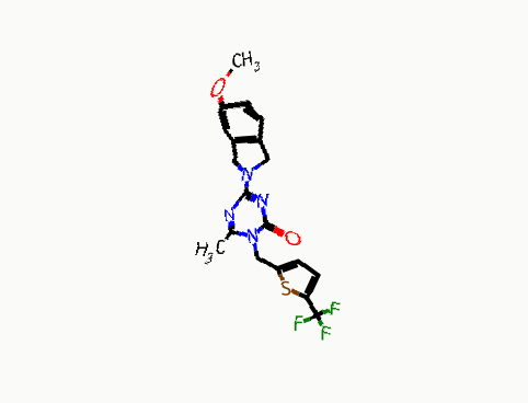 COc1ccc2c(c1)CN(c1nc(C)n(Cc3ccc(C(F)(F)F)s3)c(=O)n1)C2